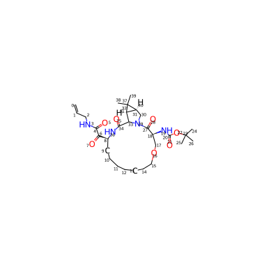 C=CCNC(=O)C(=O)[C@@H]1CCCCCCCOC[C@H](NC(=O)OC(C)(C)C)C(=O)N2C[C@H]3[C@@H](C2C(=O)N1)C3(C)C